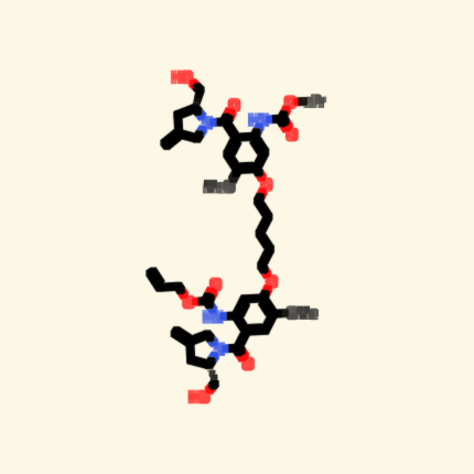 C=CCOC(=O)Nc1cc(OCCCCCOc2cc(NC(=O)OCCC)c(C(=O)N3CC(=C)C[C@H]3CO)cc2OC)c(OC)cc1C(=O)N1CC(=C)C[C@H]1CO